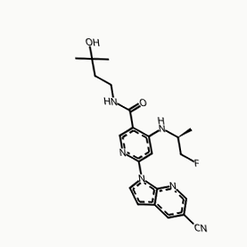 C[C@@H](CF)Nc1cc(-n2ccc3cc(C#N)cnc32)ncc1C(=O)NCCC(C)(C)O